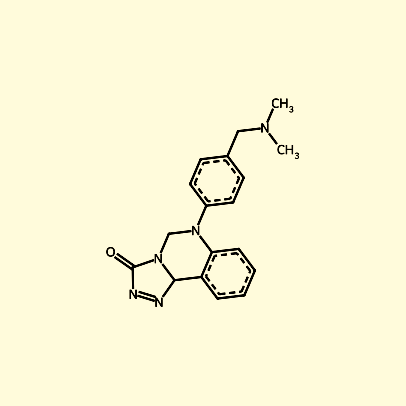 CN(C)Cc1ccc(N2CN3C(=O)N=NC3c3ccccc32)cc1